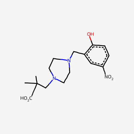 CC(C)(CN1CCN(Cc2cc([N+](=O)[O-])ccc2O)CC1)C(=O)O